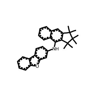 CC1(C)c2cc3ccccc3c(Nc3ccc4c(c3)oc3ccccc34)c2C(C)(C)C1(C)C